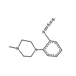 CN1CCN(c2ccccc2N=[N+]=[N-])CC1